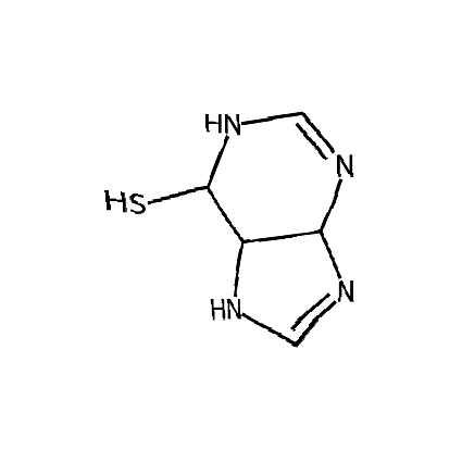 SC1NC=NC2N=CNC21